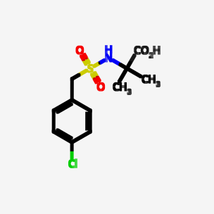 CC(C)(NS(=O)(=O)Cc1ccc(Cl)cc1)C(=O)O